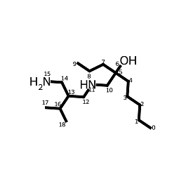 CCCCCC(O)(CCC)CNCC(CN)C(C)C